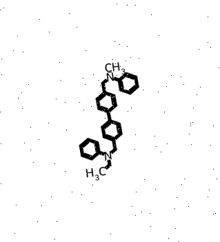 CCN(Cc1ccc(-c2ccc(CN(C)c3ccccc3)cc2)cc1)c1ccccc1